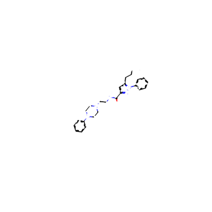 CCCc1cc(C(=O)NCCN2CCN(c3ccccc3)CC2)nn1-c1ccccc1